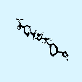 CN(C)C(=O)C1CCN(c2nc3sc(C(=O)Nc4ccc(-c5ccn(C)n5)cc4)cc3s2)CC1